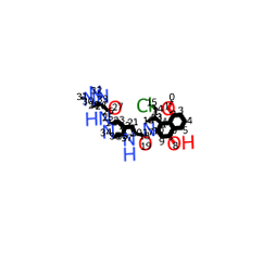 COc1cccc2c(O)cc3c(c12)[C@H](CCl)CN3C(=O)c1cc2cc(NC(=O)c3cn(C)nn3)ncc2[nH]1